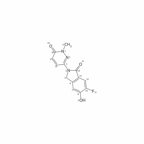 Cn1nc(N2Cc3cc(O)c(F)cc3C2=O)ccc1=O